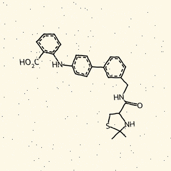 CC1(C)NC(C(=O)NCc2cccc(-c3ccc(Nc4ccccc4C(=O)O)cc3)c2)CS1